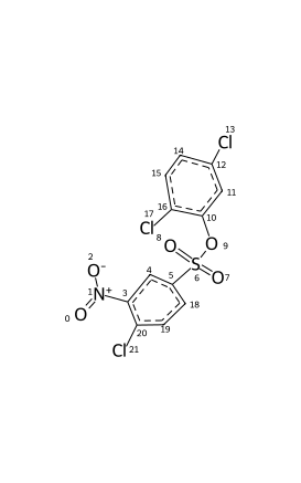 O=[N+]([O-])c1cc(S(=O)(=O)Oc2cc(Cl)ccc2Cl)ccc1Cl